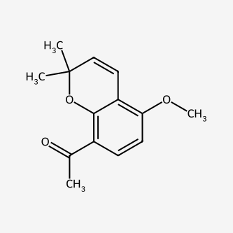 COc1ccc(C(C)=O)c2c1C=CC(C)(C)O2